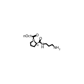 CCCCCCCCC(=O)N1CCC[C@@H]1C(=O)NCCCN